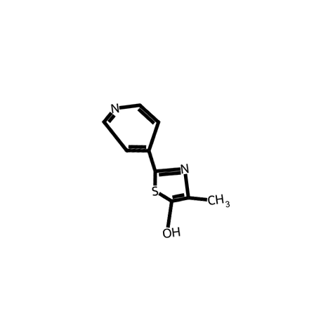 Cc1nc(-c2ccncc2)sc1O